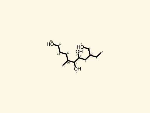 CCC(CO)CC(O)C(O)C(C)CCCO